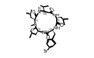 CC(C)C[C@@H]1NC(=O)[C@H](C(C)C)NC(=O)[C@H](CC(C)C)N(C)C(=O)[C@H](CC(C)C)NC(=O)[C@H](Cc2ccc(Br)cc2)NC1=O